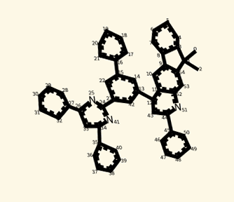 CC1(C)c2ccccc2-c2cc3c(-c4cc(-c5ccccc5)cc(-c5nc(-c6ccccc6)cc(-c6ccccc6)n5)c4)cc(-c4ccccc4)nc3cc21